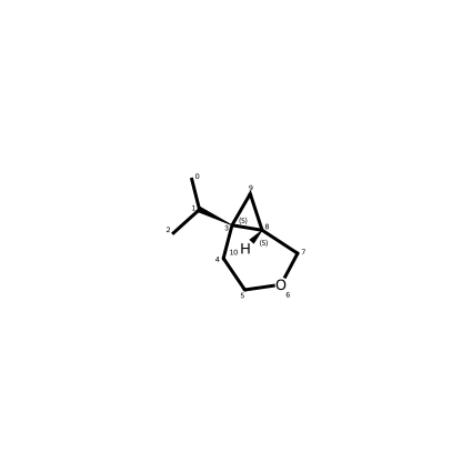 CC(C)[C@]12CCOC[C@H]1C2